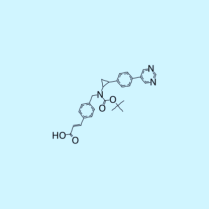 CC(C)(C)OC(=O)N(Cc1ccc(/C=C/C(=O)O)cc1)C1CC1c1ccc(-c2cncnc2)cc1